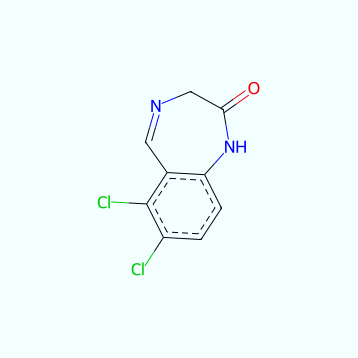 O=C1CN=Cc2c(ccc(Cl)c2Cl)N1